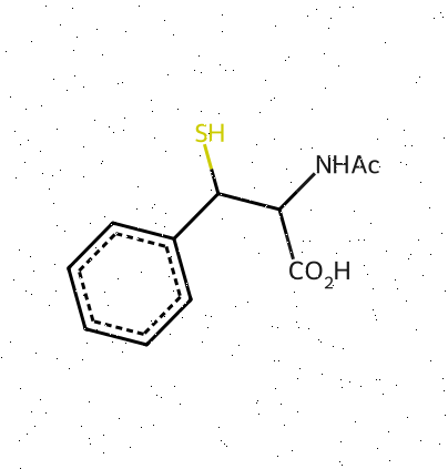 CC(=O)NC(C(=O)O)C(S)c1ccccc1